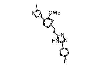 COc1cc(C=Cc2nnc(-c3ccc(F)cc3)[nH]2)ccc1-n1cnc(C)c1